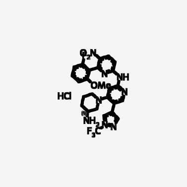 COc1cccc(F)c1-c1nc(Nc2cc(N3CCC[C@H](N)C3)c(-c3cnn(C(F)(F)F)c3)cn2)ccc1[N+](=O)[O-].Cl